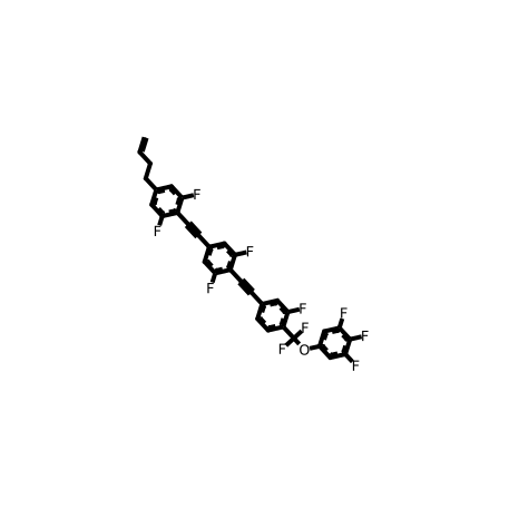 C=CCCc1cc(F)c(C#Cc2cc(F)c(C#Cc3ccc(C(F)(F)Oc4cc(F)c(F)c(F)c4)c(F)c3)c(F)c2)c(F)c1